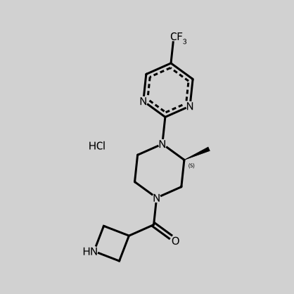 C[C@H]1CN(C(=O)C2CNC2)CCN1c1ncc(C(F)(F)F)cn1.Cl